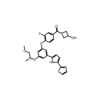 COC[C@H](C)Oc1cc(Oc2ccc(C(=O)N3CC(O)C3)cc2F)cc(-c2ccc(-c3nccs3)[nH]2)c1